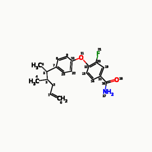 C=CCC(C)C(C)c1ccc(Oc2ccc(C(N)=O)cc2F)cc1